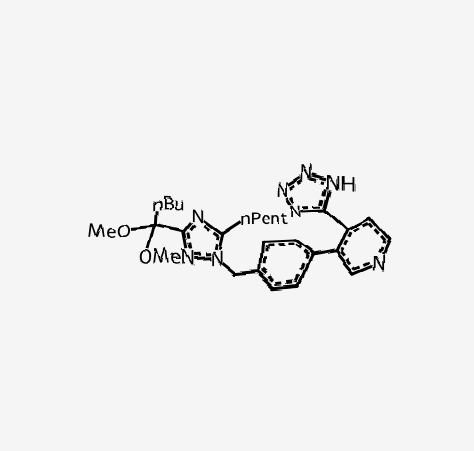 CCCCCc1nc(C(CCCC)(OC)OC)nn1Cc1ccc(-c2cnccc2-c2nnn[nH]2)cc1